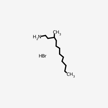 Br.CCCCCCCCCC(C)CCN